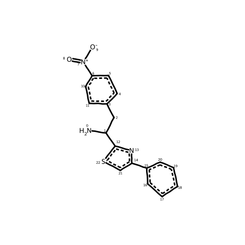 NC(Cc1ccc([N+](=O)[O-])cc1)c1nc(-c2ccccc2)cs1